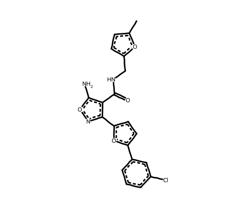 Cc1ccc(CNC(=O)c2c(-c3ccc(-c4cccc(Cl)c4)o3)noc2N)o1